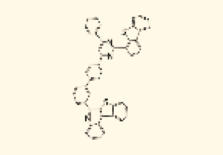 c1ccc(-c2cc(-c3ccc(-c4cccc(-c5nc6ccccc6c6c5sc5ccccc56)c4)cc3)nc(-c3cccc4c3sc3ccccc34)n2)cc1